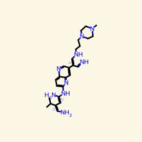 CC(C)C(=C/N)/C=C(\N)Nc1ccc2ncc(/C(C=N)=C/NCCCN3CCN(C)CC3)cc2n1